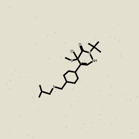 CSC1(Cl)C(=O)N(C(C)(C)C)NC=C1C1CCC(CSCC(C)C)CC1